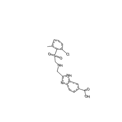 Cc1cccc(Cl)c1S(=O)(=O)CNCc1nc2ccc(C(=O)O)cc2[nH]1